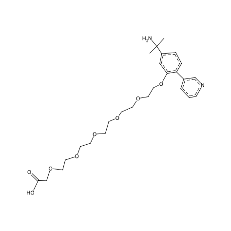 CC(C)(N)c1ccc(-c2cccnc2)c(OCCOCCOCCOCCOCCOCC(=O)O)c1